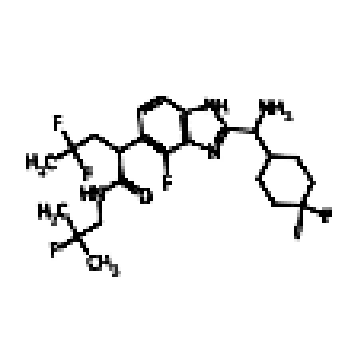 CC(C)(F)CNC(=O)C(CC(C)(F)F)c1ccc2[nH]c(C(N)C3CCC(F)(F)CC3)nc2c1F